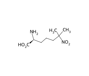 CC(C)(CCC[C@H](N)C(=O)O)[N+](=O)[O-]